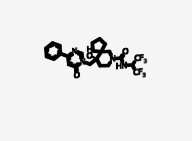 O=C(NC(C(F)(F)F)C(F)(F)F)N1CC[C@@](O)(Cn2cnc(-c3ccccc3)cc2=O)C2(CCCC2)C1